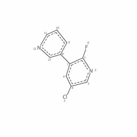 Fc1ncc(Cl)cc1-c1cccnc1